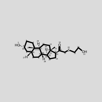 C[C@]12CC[C@@H](O)C[C@H]1CC[C@@H]1[C@@H]2CC[C@]2(C)[C@@H](C(=O)CSCCO)CC[C@@H]12